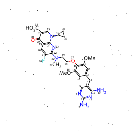 COc1cc(Cc2cnc(N)nc2N)cc(OC)c1OCCN(C)c1nc2c(cc1F)c(=O)c(C(=O)O)cn2C1CC1